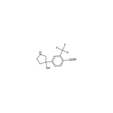 N#Cc1ccc(C2(O)CCNC2)cc1C(F)(F)F